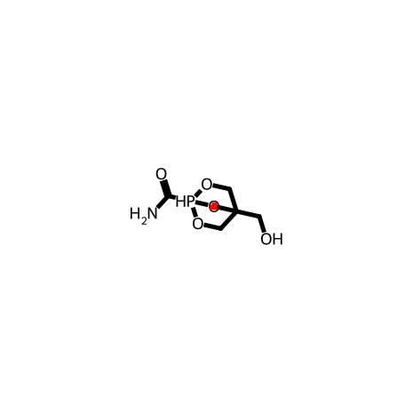 NC(=O)[PH]12OCC(CO)(CO1)CO2